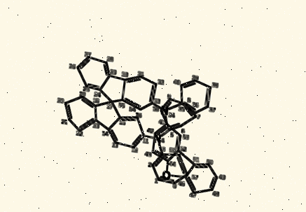 c1ccc(N(c2ccccc2)c2ccc3c(c2)C2(c4ccccc4-3)c3ccccc3-c3ccc(N(c4ccccc4)c4ccc5oc6ccccc6c5c4)cc32)cc1